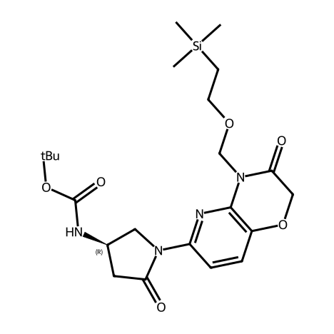 CC(C)(C)OC(=O)N[C@@H]1CC(=O)N(c2ccc3c(n2)N(COCC[Si](C)(C)C)C(=O)CO3)C1